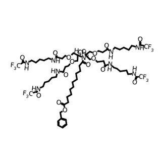 CC(COCCC(=O)NCCCCCNC(=O)C(F)(F)F)(COCCC(=O)NCCCCCNC(=O)C(F)(F)F)N(C(=O)CCCCCCCCCCC(=O)OCc1ccccc1)C(C)(COCCC(=O)NCCCCCNC(=O)C(F)(F)F)COCCC(=O)NCCCCCNC(=O)C(F)(F)F